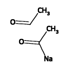 CC=O.C[C](=O)[Na]